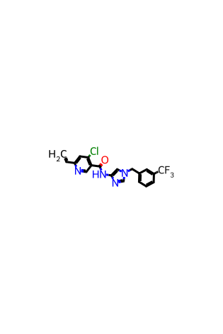 C=Cc1cc(Cl)c(C(=O)Nc2cn(Cc3cccc(C(F)(F)F)c3)cn2)cn1